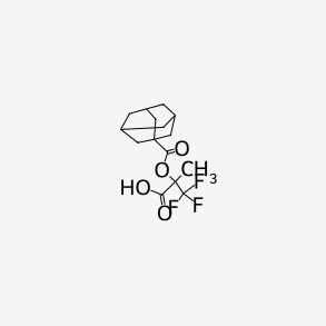 CC(OC(=O)C12CC3CC(CC(C3)C1)C2)(C(=O)O)C(F)(F)F